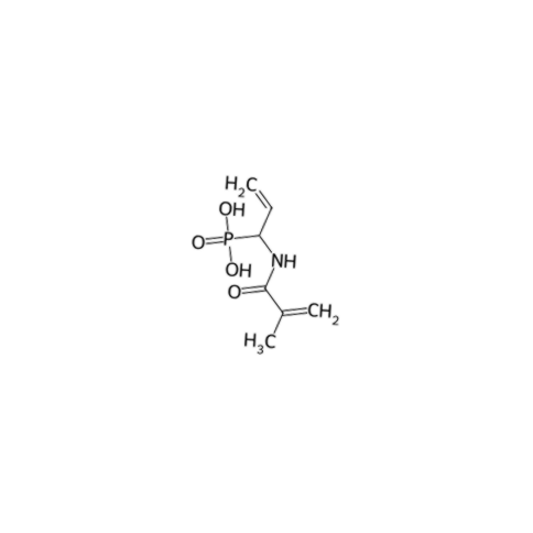 C=CC(NC(=O)C(=C)C)P(=O)(O)O